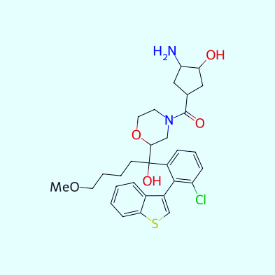 COCCCCC(O)(c1cccc(Cl)c1-c1csc2ccccc12)C1CN(C(=O)C2CC(N)C(O)C2)CCO1